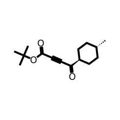 CC(C)(C)OC(=O)C#CC(=O)[C@H]1CC[C@H](C)CC1